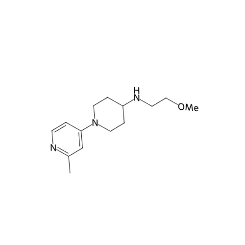 COCCNC1CCN(c2ccnc(C)c2)CC1